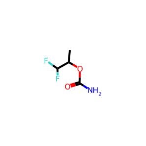 CC(OC(N)=O)C(F)F